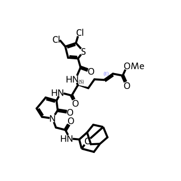 COC(=O)/C=C/CC[C@H](NC(=O)c1cc(Cl)c(Cl)s1)C(=O)Nc1cccn(CC(=O)NC2C3CC4CC(C3)CC2C4)c1=O